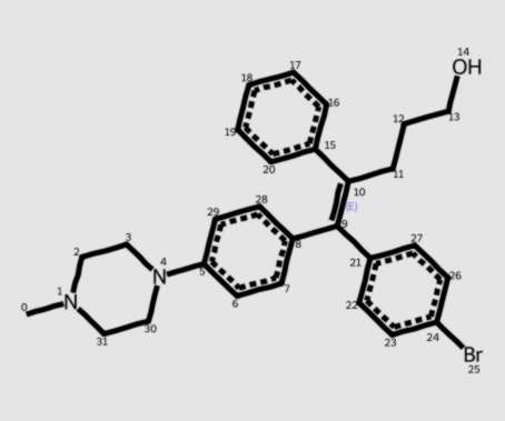 CN1CCN(c2ccc(/C(=C(/CCCO)c3ccccc3)c3ccc(Br)cc3)cc2)CC1